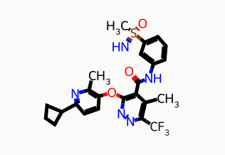 Cc1nc(C2CCC2)ccc1Oc1nnc(C(F)(F)F)c(C)c1C(=O)Nc1cccc(S(C)(=N)=O)c1